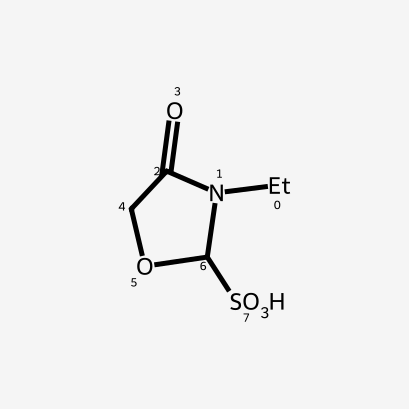 CCN1C(=O)COC1S(=O)(=O)O